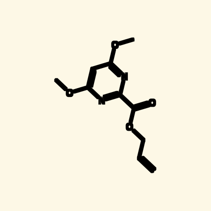 C=CCOC(=O)c1nc(OC)cc(OC)n1